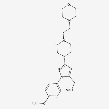 COCc1cc(N2CCN(CCN3CCOCC3)CC2)nn1-c1ccc(OC(F)(F)F)cc1